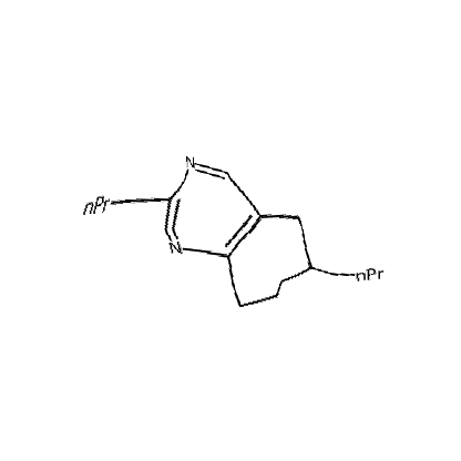 CCCc1ncc2c(n1)CCC(CCC)C2